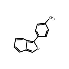 Cc1ccc(C2=c3ccccc3=C[N]2)cc1